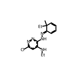 CCNc1cc(Cl)nnc1NN=C1C=CC=CC1(C)CC